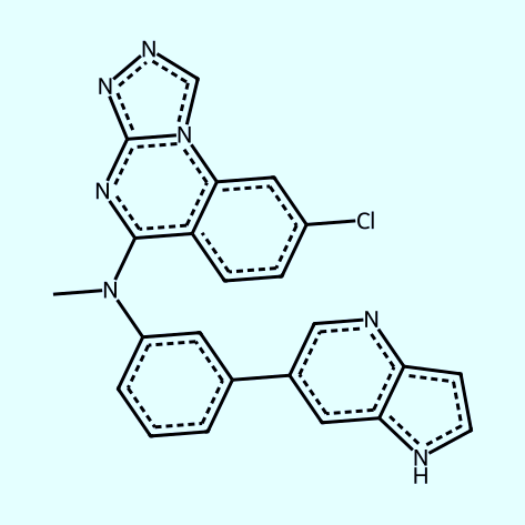 CN(c1cccc(-c2cnc3cc[nH]c3c2)c1)c1nc2nncn2c2cc(Cl)ccc12